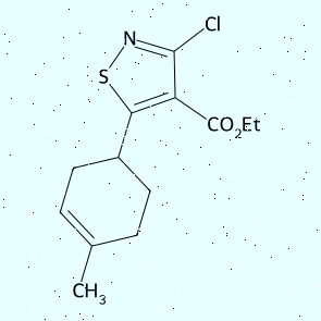 CCOC(=O)c1c(Cl)nsc1C1CC=C(C)CC1